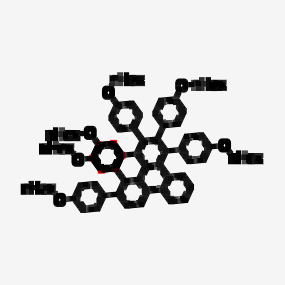 CCCCCCOc1ccc(-c2ccc3c4ccccc4c4c(-c5ccc(OCCCCCC)cc5)c(-c5ccc(OCCCCCC)cc5)c(-c5ccc(OCCCCCC)cc5)c(-c5ccc(OCCCCCC)cc5)c4c3c2-c2ccc(OCCCCCC)cc2)cc1